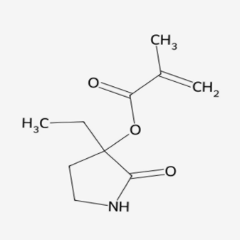 C=C(C)C(=O)OC1(CC)CCNC1=O